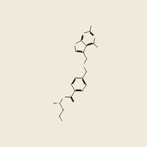 Nc1nc(S)c2c(CNCc3ccc(C(=O)N[C@@H](CCC(=O)O)C(=O)O)cc3)c[nH]c2n1